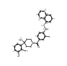 Cc1cc(C(=O)N2CCC(O)(c3cccc(F)c3F)CC2)ccc1NSc1cccc2nccnc12